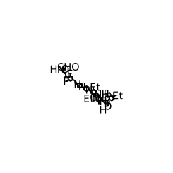 CCOc1cc(N2CCC(N3CCN(CCc4cc(F)c(C(C)CCC(=O)NC=O)c(F)c4)CC3)CC2)c(CC)cc1Nc1ncc(C)c(Nc2cc(F)c3nc(CC)ccc3c2P(C)(C)=O)n1